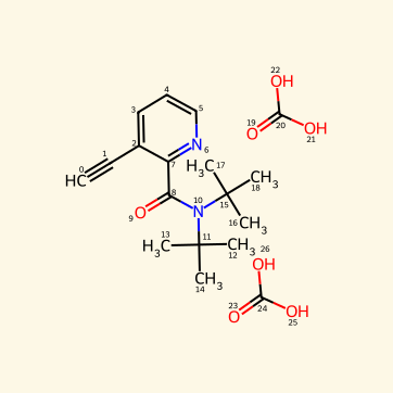 C#Cc1cccnc1C(=O)N(C(C)(C)C)C(C)(C)C.O=C(O)O.O=C(O)O